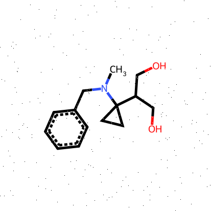 CN(Cc1ccccc1)C1(C(CO)CO)CC1